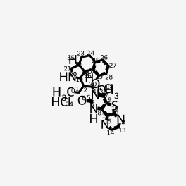 CCC(Cn1c(=O)[nH]c2c(sc3nccnc32)c1=O)C1NC[C@@H]2CCc3cccc(OC)c3[C@H]12.Cl